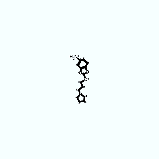 Nc1ccc2c(c1)OC(OCCCN1CCCC1)O2